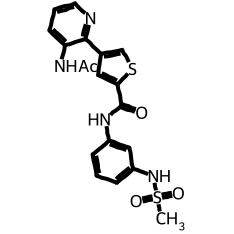 CC(=O)Nc1cccnc1-c1csc(C(=O)Nc2cccc(NS(C)(=O)=O)c2)c1